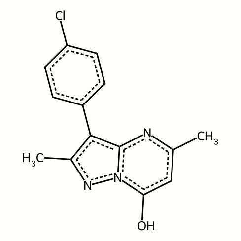 Cc1cc(O)n2nc(C)c(-c3ccc(Cl)cc3)c2n1